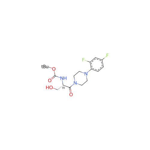 CC(C)(C)OC(=O)N[C@@H](CO)C(=O)N1CCN(c2ccc(F)cc2F)CC1